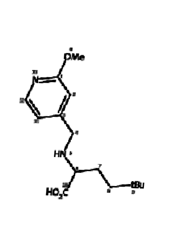 COc1cc(CNC(CCC(C)(C)C)C(=O)O)ccn1